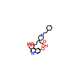 COc1ccc2ncc(CO)c([C@@H](O)CCC3(CC(=O)O)CCN(CCC4CCCCC4)CC3)c2c1